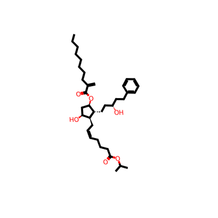 C=C(CCCCCCCC)C(=O)O[C@@H]1C[C@H](O)[C@H](C/C=C\CCCC(=O)OC(C)C)[C@H]1CC[C@@H](O)CCc1ccccc1